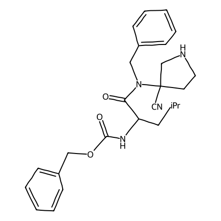 CC(C)CC(NC(=O)OCc1ccccc1)C(=O)N(Cc1ccccc1)C1(C#N)CCNC1